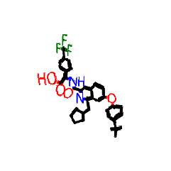 CC(C)(C)c1ccc(Oc2ccc3cc(C(=O)NC(C(=O)O)c4ccc(C(F)(F)F)cc4)nc(CC4CCCC4)c3c2)cc1